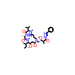 CCCCN(C[C@H](OC)C(C)C(=O)NCCc1ccccc1)C(=O)CC(OC)C(C(C)CC)N(C)C(=O)[C@H](C)NC(=O)C(NC)C(C)C